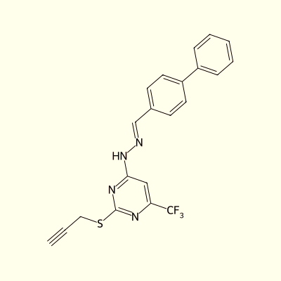 C#CCSc1nc(NN=Cc2ccc(-c3ccccc3)cc2)cc(C(F)(F)F)n1